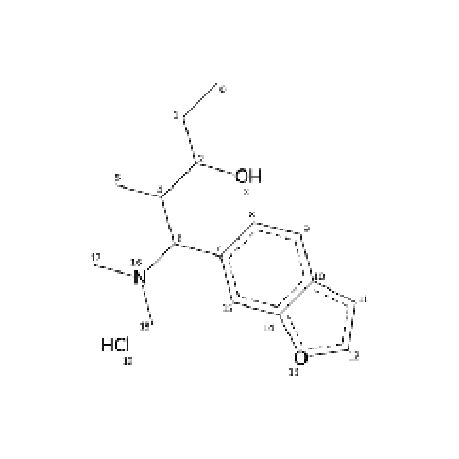 CCC(O)C(C)C(c1ccc2ccoc2c1)N(C)C.Cl